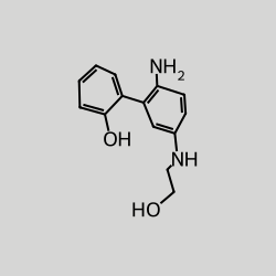 Nc1ccc(NCCO)cc1-c1ccccc1O